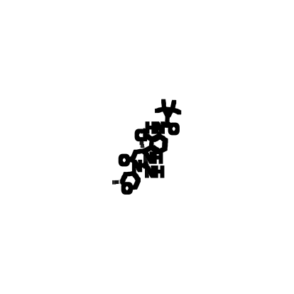 C[C@@H]1C[C@H](N2C(=N)N[C@](C)(c3cccc(NC(=O)C4C(C)(C)C4(C)C)c3Cl)CC2=O)CCO1